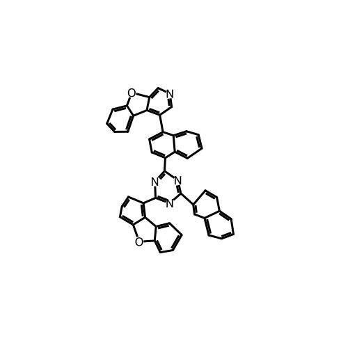 c1ccc2cc(-c3nc(-c4ccc(-c5cncc6oc7ccccc7c56)c5ccccc45)nc(-c4cccc5oc6ccccc6c45)n3)ccc2c1